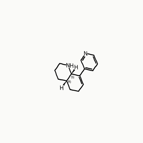 C1=C(c2cccnc2)[C@H]2NCCC[C@H]2CC1